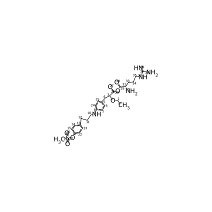 CCOC(Cc1ccc(NCCCc2ccc(OS(C)(=O)=O)cc2)cc1)C(=O)OC(=O)[C@@H](N)CCCNC(=N)N